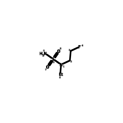 CCN(CCF)S(N)(=O)=O